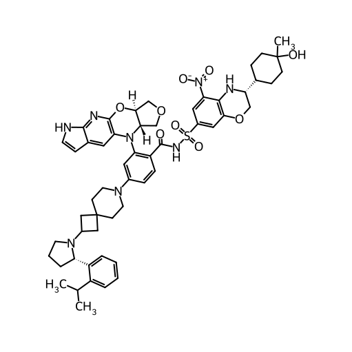 CC(C)c1ccccc1[C@@H]1CCCN1C1CC2(CCN(c3ccc(C(=O)NS(=O)(=O)c4cc5c(c([N+](=O)[O-])c4)N[C@H](C4CCC(C)(O)CC4)CO5)c(N4c5cc6cc[nH]c6nc5O[C@H]5COC[C@@H]54)c3)CC2)C1